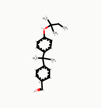 CCC(C)(C)Oc1ccc(C(C)(C)c2ccc(C=O)cc2)cc1